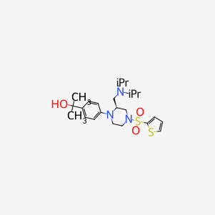 CC(C)N(C[C@H]1CN(S(=O)(=O)c2cccs2)CCN1c1ccc(C(C)(C)O)cc1)C(C)C